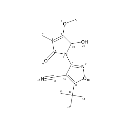 COC1=C(C)C(=O)N(c2noc(C(C)(C)C)c2C#N)C1O